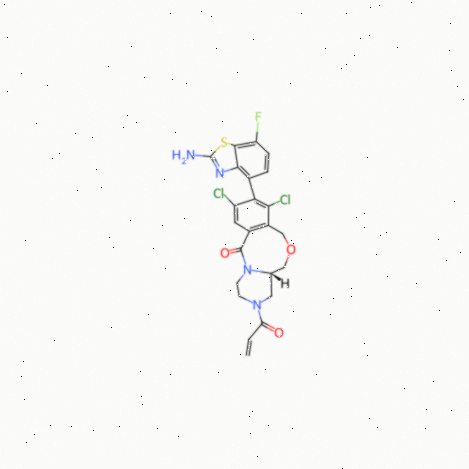 C=CC(=O)N1CCN2C(=O)c3cc(Cl)c(-c4ccc(F)c5sc(N)nc45)c(Cl)c3COC[C@@H]2C1